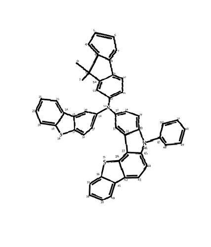 CC1(C)c2ccccc2-c2ccc(N(c3ccc4sc5ccccc5c4c3)c3ccc4c(c3)c3c5sc6ccccc6c5ccc3n4-c3ccccc3)cc21